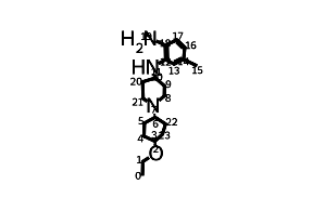 CCO[C@H]1CC[C@H](N2CCC(Nc3cc(C)ccc3N)CC2)CC1